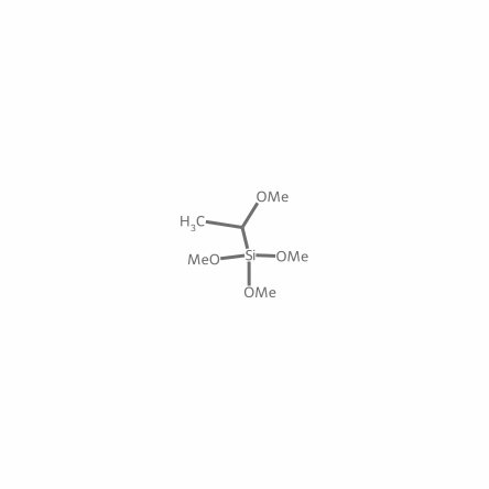 COC(C)[Si](OC)(OC)OC